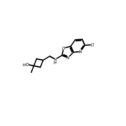 CC1(O)CC(CNc2nc3nc(Cl)ccc3o2)C1